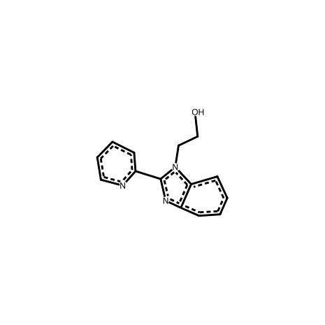 OCCn1c(-c2ccccn2)nc2ccccc21